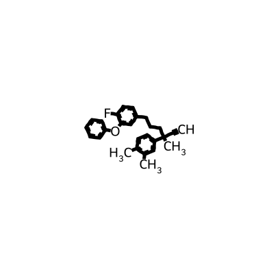 C#CC(C)(CCCc1ccc(F)c(Oc2ccccc2)c1)c1ccc(C)c(C)c1